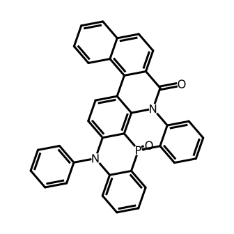 O=c1c2ccc3ccccc3c2c2ccc3c4c2n1-c1ccccc1P4(=O)c1ccccc1N3c1ccccc1